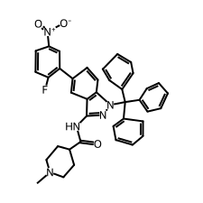 CN1CCC(C(=O)Nc2nn(C(c3ccccc3)(c3ccccc3)c3ccccc3)c3ccc(-c4cc([N+](=O)[O-])ccc4F)cc23)CC1